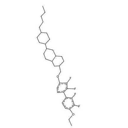 CCCCCC1CCC(C2CCC3CC(COc4ccc(-c5ccc(OCC)c(F)c5F)c(F)c4F)CCC3C2)CC1